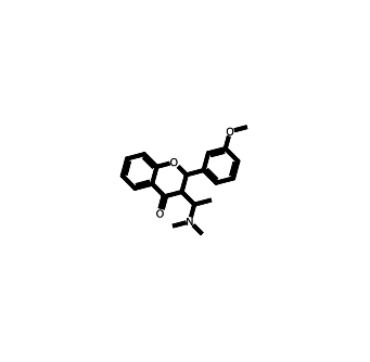 COc1cccc(C2Oc3ccccc3C(=O)C2C(C)N(C)C)c1